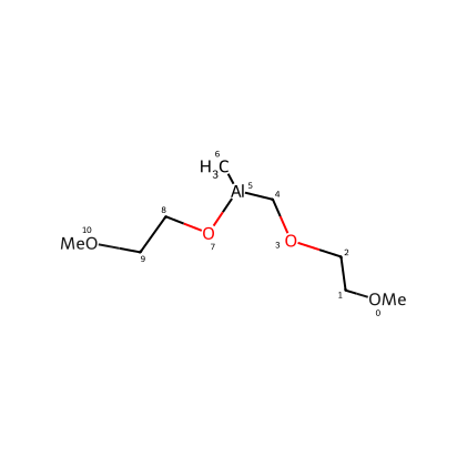 COCCO[CH2][Al]([CH3])[O]CCOC